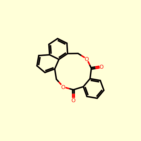 O=C1OCc2cccc3cccc(c23)COC(=O)c2ccccc21